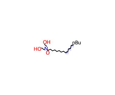 CCCC/C=C/C=C/C=C\CCCCCCCC(=O)N(CCO)CCO